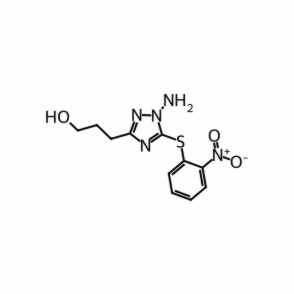 Nn1nc(CCCO)nc1Sc1ccccc1[N+](=O)[O-]